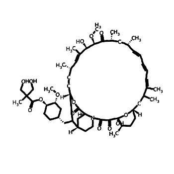 CO[C@@H]1C[C@H](CC2[C@H]3CCN4C(=O)C(=O)[C@]5(O)O[C@@H](CC[C@H]5C)CC(C)/C(C)=C/C=C/C=C/[C@@H](C)C[C@@H](C)C(=O)[C@H](OC)[C@H](O)/C(C)=C/[C@@H](C)CC[C@@H]2OC(=O)[C@@H]4C3)CC[C@H]1OC(=O)C(C)(CO)CO